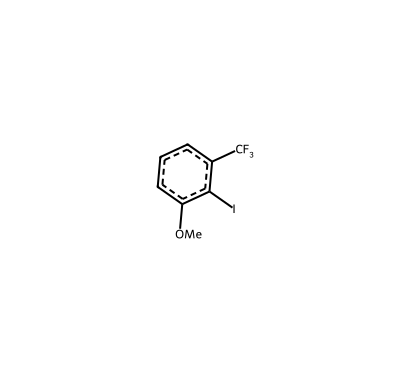 COc1cccc(C(F)(F)F)c1I